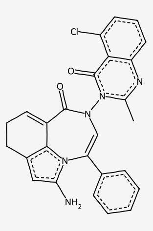 Cc1nc2cccc(Cl)c2c(=O)n1N1C=C(c2ccccc2)n2c(N)cc3c2C(=CCC3)C1=O